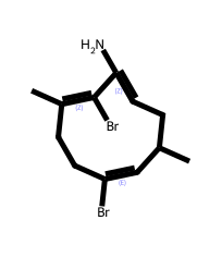 C/C1=C(Br)\C(N)=C\CC(C)/C=C(/Br)CC1